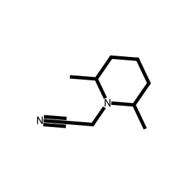 CC1CCCC(C)N1CC#N